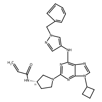 C=CC(=O)N[C@H]1CCN(c2nc(Nc3cnn(Cc4ccccc4)c3)c3ncn(C4CCC4)c3n2)C1